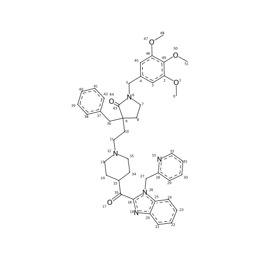 COc1cc(CN2CCC(CCN3CCC(C(=O)c4nc5ccccc5n4Cc4ccccn4)CC3)(Cc3ccccc3)C2=O)cc(OC)c1OC